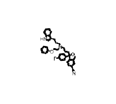 N#Cc1ccc2c(c1)COC2(CCCN(CCCc1c[nH]c2ccccc12)CCOc1ccccc1)c1ccc(F)cc1